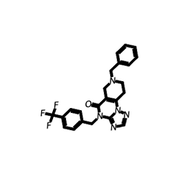 O=c1c2c(n3ncnc3n1Cc1ccc(C(F)(F)F)cc1)CCN(Cc1ccccc1)C2